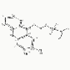 CC(C)[N+](C)(C)CCCN1c2ccccc2Sc2ccc(Cl)cc21.[Br-]